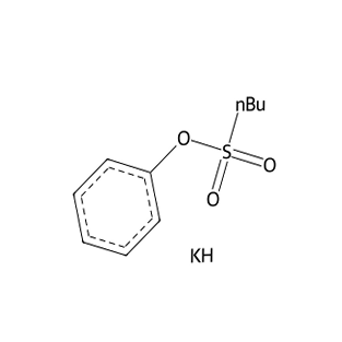 CCCCS(=O)(=O)Oc1ccccc1.[KH]